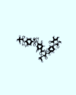 Cc1c(C)n(C)c(=O)n(-c2ccc(C[C@H](NC(=O)c3cc(F)c(NS(=O)(=O)c4ccc(NC(=O)C(C)(C)C)c(F)c4)cc3F)C(=O)OC(C)C)cc2)c1=O